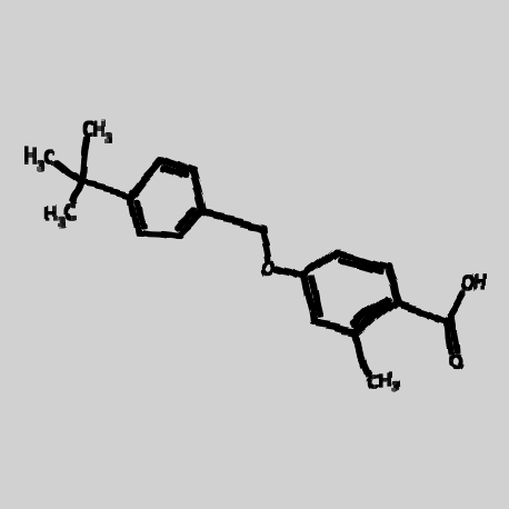 Cc1cc(OCc2ccc(C(C)(C)C)cc2)ccc1C(=O)O